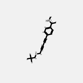 CNC(C)c1ccc(C#CC#CCOCC(C)(C)C)cc1